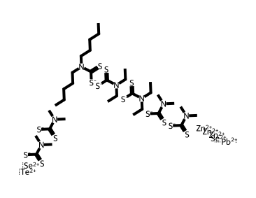 CCCCCN(CCCCC)C(=S)[S-].CCN(CC)C(=S)[S-].CCN(CC)C(=S)[S-].CN(C)C(=S)[S-].CN(C)C(=S)[S-].CN(C)C(=S)[S-].CN(C)C(=S)[S-].[Pb+2].[Se+2].[Se+2].[Te+2].[Zn+2].[Zn+2].[Zn+2]